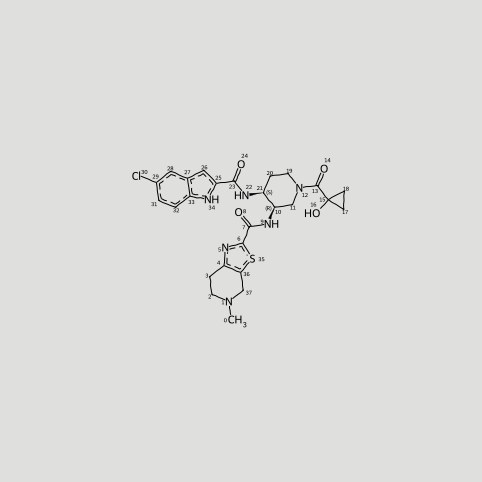 CN1CCc2nc(C(=O)N[C@@H]3CN(C(=O)C4(O)CC4)CC[C@@H]3NC(=O)c3cc4cc(Cl)ccc4[nH]3)sc2C1